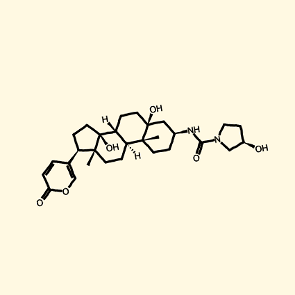 C[C@]12CC[C@H](NC(=O)N3CC[C@@H](O)C3)C[C@@]1(O)CC[C@@H]1[C@@H]2CC[C@]2(C)[C@@H](c3ccc(=O)oc3)CC[C@]12O